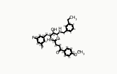 CCc1cccc(CNC[C@H](O)[C@H](Cc2cc(F)cc(F)c2)NC(=O)CCC(=O)c2ccc(OC)cc2)c1